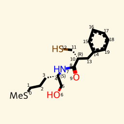 CSCCC[C@@H](CO)NC(=O)[C@H](CS)Cc1ccccc1